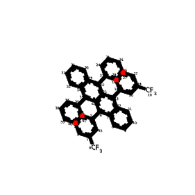 FC(F)(F)c1cccc(-c2c3ccccc3c(-c3cccc(C(F)(F)F)c3)c3c(-c4ccccc4)c4ccccc4c(-c4ccccc4)c23)c1